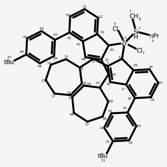 CCC[SiH](C)[Zr]([Cl])([Cl])([CH]1C(CC2CCCCCC2)=Cc2c(-c3ccc(C(C)(C)C)cc3)cccc21)[CH]1C(CC2CCCCCC2)=Cc2c(-c3ccc(C(C)(C)C)cc3)cccc21